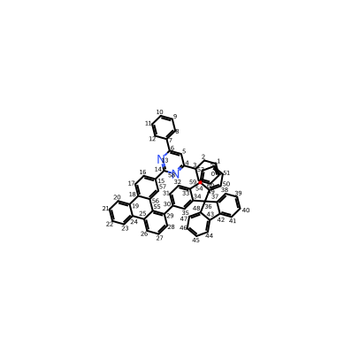 C1=CCC(c2cc(-c3ccccc3)nc(-c3ccc4c5ccccc5c5cccc(-c6ccc7c(c6)C6(c8ccccc8-c8ccccc86)c6ccccc6-7)c5c4c3)n2)C=C1